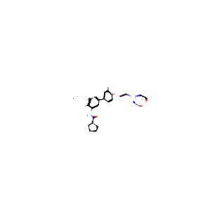 CCN(C(=O)C1CCCC1)c1cc(-c2ccc(OCCN3CCOCC3)c(C#N)c2)cc(C)c1C